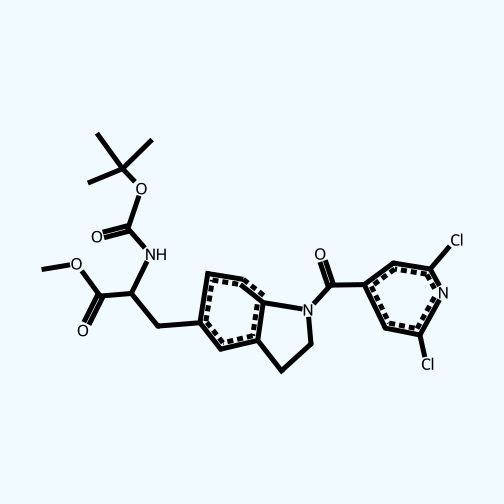 COC(=O)C(Cc1ccc2c(c1)CCN2C(=O)c1cc(Cl)nc(Cl)c1)NC(=O)OC(C)(C)C